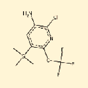 C[Si](C)(C)c1cc(N)c(Cl)nc1OC(F)(F)F